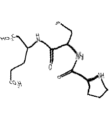 CC(C)CC(NC(=O)C1CCCN1)C(=O)NC(CCC(=O)O)C(=O)O